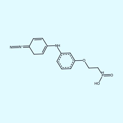 [N-]=[N+]=C1C=CC(Nc2cccc(OCC[PH](=O)O)c2)=CC1